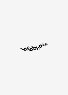 CCCc1ccc(C(=O)Oc2ccc3c(c2)C(C)(C)c2cc(OC(=O)c4ccc(OCC5CO5)cc4)ccc2-3)cc1